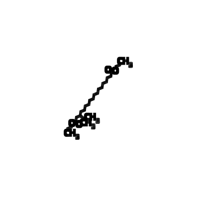 CCCOC(=O)CCCCCCCCCCCCCCC(CC(=O)OCCC)C(C)C